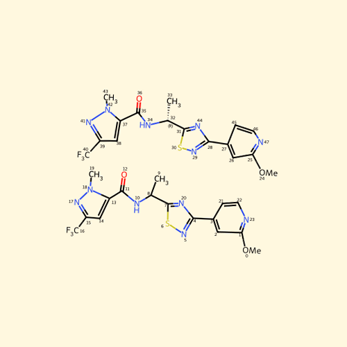 COc1cc(-c2nsc(C(C)NC(=O)c3cc(C(F)(F)F)nn3C)n2)ccn1.COc1cc(-c2nsc([C@@H](C)NC(=O)c3cc(C(F)(F)F)nn3C)n2)ccn1